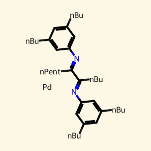 CCCCCC(=N\c1cc(CCCC)cc(CCCC)c1)/C(CCCC)=N/c1cc(CCCC)cc(CCCC)c1.[Pd]